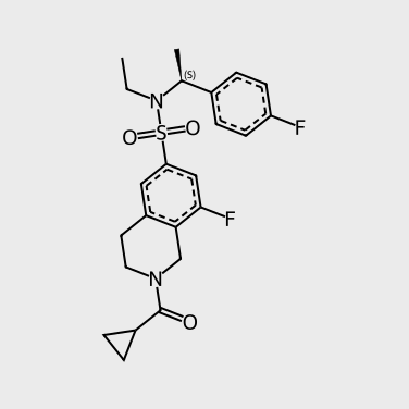 CCN([C@@H](C)c1ccc(F)cc1)S(=O)(=O)c1cc(F)c2c(c1)CCN(C(=O)C1CC1)C2